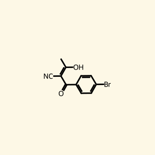 CC(O)=C(C#N)C(=O)c1ccc(Br)cc1